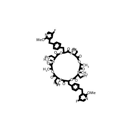 COc1ncc(F)cc1Cc1ccc(CC2OC(=O)C(CC(C)C)N(C)C(=O)C(C)OC(=O)C(CC(C)C)N(C)C(=O)C(Cc3ccc(Cc4cc(F)cnc4OC)cc3)OC(=O)C(CC(C)C)N(C)C(=O)C(C)OC(=O)C(CC(C)C)N(C)C2=O)cc1